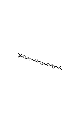 CC(C)CCOCCOCCOCCOCCOCCOCC(C)(C)C